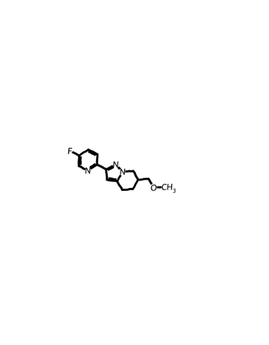 COCC1CCc2cc(-c3ccc(F)cn3)nn2C1